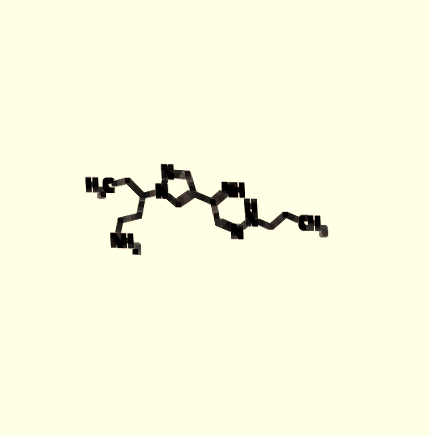 CCCN/N=C\C(=N)c1cnn(C(CC)CCN)c1